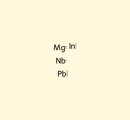 [In].[Mg].[Nb].[Pb]